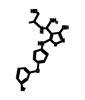 CC(CO)NC(N)c1c(O)nsc1Nc1ccc(Oc2cccc(Br)c2)cc1